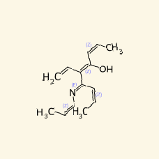 C=CC(=C(O)\C=C/C)/C(/C=C\C)=N/C=C\C